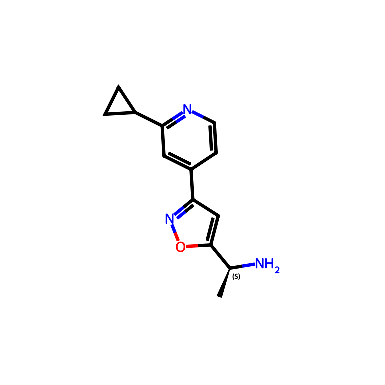 C[C@H](N)c1cc(-c2ccnc(C3CC3)c2)no1